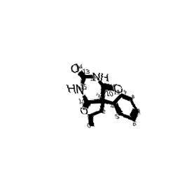 C=CCC1(c2ccccc2)C(=O)NC(=O)NC1=O